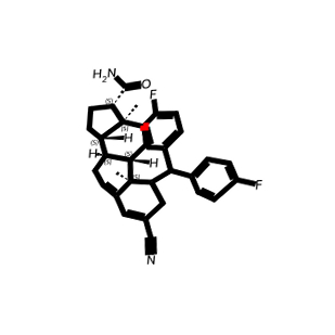 C[C@]12CC[C@H]3[C@@H](CC=C4C=C(C#N)CC(C(c5ccc(F)cc5)c5ccc(F)cc5)[C@@]43C)[C@@H]1CC[C@@H]2C(N)=O